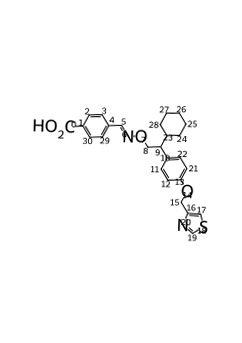 O=C(O)c1ccc(C=NOCC(c2ccc(OCc3cscn3)cc2)C2CCCCC2)cc1